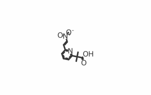 CC(C)(C(=O)O)c1cccc(C=C[N+](=O)[O-])n1